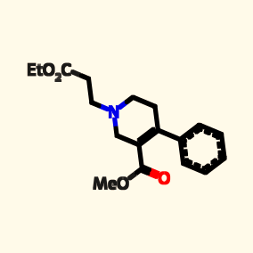 CCOC(=O)CCN1CCC(c2ccccc2)=C(C(=O)OC)C1